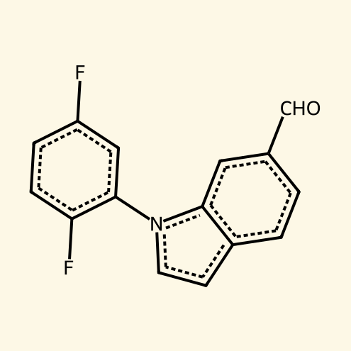 O=Cc1ccc2ccn(-c3cc(F)ccc3F)c2c1